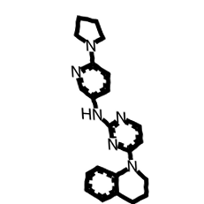 c1ccc2c(c1)CCCN2c1ccnc(Nc2ccc(N3CCCC3)nc2)n1